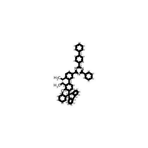 CCc1ccc(-c2nc(-c3ccccc3)nc(-c3ccc(-c4ccccc4)cc3)n2)cc1-c1ccc2c(c1CC)Oc1ccccc1C21c2ccccc2-c2ccccc21